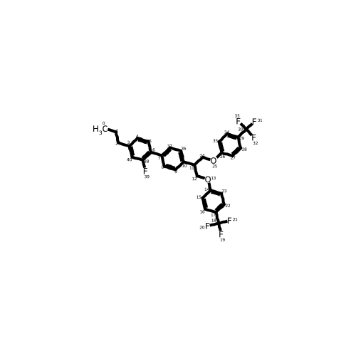 CCCc1ccc(-c2ccc(C(COc3ccc(C(F)(F)F)cc3)COc3ccc(C(F)(F)F)cc3)cc2)c(F)c1